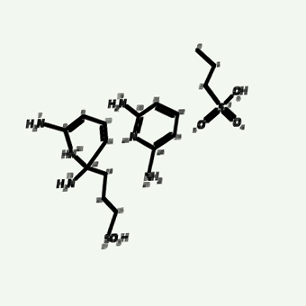 CCCS(=O)(=O)O.NC1=CC=CC(N)(CCCS(=O)(=O)O)N1.Nc1cccc(N)n1